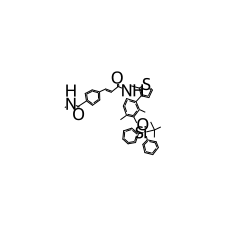 CNC(=O)c1ccc(C=CC(=O)NCc2sccc2-c2ccc(C)c(CO[Si](c3ccccc3)(c3ccccc3)C(C)(C)C)c2C)cc1